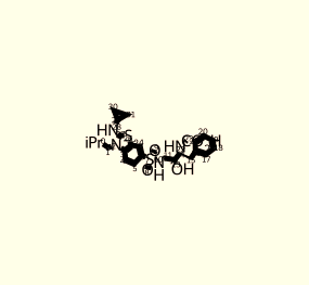 CC(C)CN1c2ccc(S(=O)(=O)NC[C@H](O)[C@H](Cc3ccccc3)NC(=O)O)cc2SC1NC1CC1